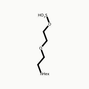 CCCCCCCCOCCOS(=O)(=O)O